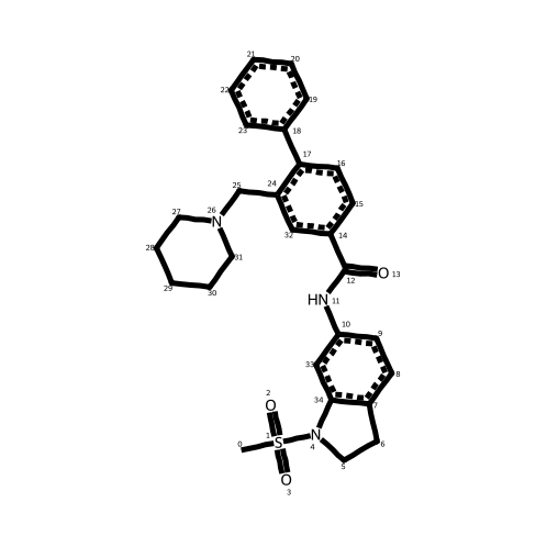 CS(=O)(=O)N1CCc2ccc(NC(=O)c3ccc(-c4ccccc4)c(CN4CCCCC4)c3)cc21